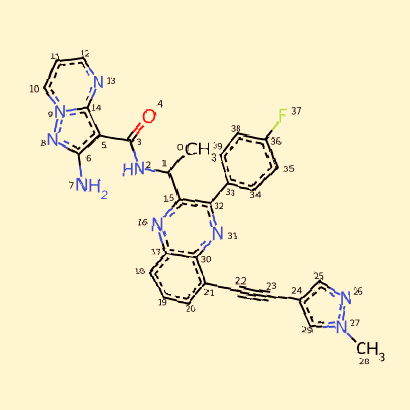 CC(NC(=O)c1c(N)nn2cccnc12)c1nc2cccc(C#Cc3cnn(C)c3)c2nc1-c1ccc(F)cc1